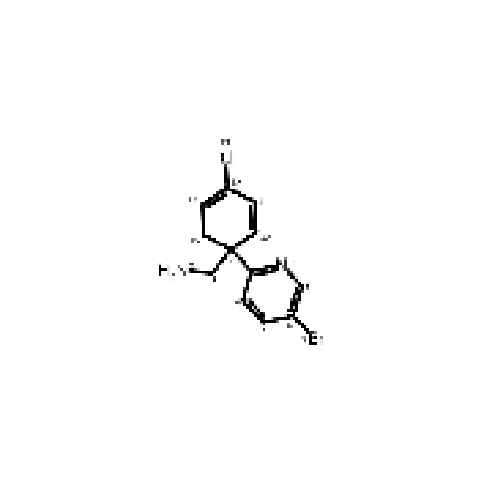 NCC1(c2ccc(Br)cn2)C=CC(Cl)=CC1